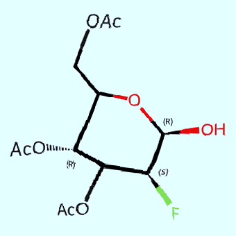 CC(=O)OCC1O[C@@H](O)[C@@H](F)C(OC(C)=O)[C@@H]1OC(C)=O